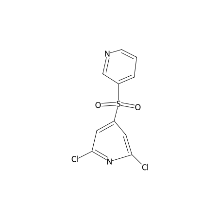 O=S(=O)(c1cccnc1)c1cc(Cl)nc(Cl)c1